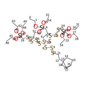 CCO[Si](CCCS(SSSCCC12CCC(CC1)C2)(SSSSC[Si](OCC)(OCC)OCC)SSSSC[Si](OCC)(OCC)OCC)(OCC)OCC